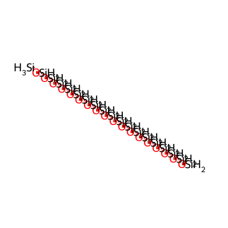 [SiH2]O[SiH2]O[SiH2]O[SiH2]O[SiH2]O[SiH2]O[SiH2]O[SiH2]O[SiH2]O[SiH2]O[SiH2]O[SiH2]O[SiH2]O[SiH2]O[SiH2]O[SiH2]O[SiH2]O[SiH2]O[SiH3]